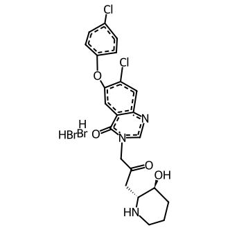 Br.Br.O=C(C[C@H]1NCCC[C@@H]1O)Cn1cnc2cc(Cl)c(Oc3ccc(Cl)cc3)cc2c1=O